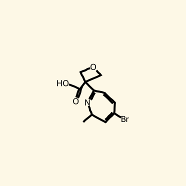 CC1C=C(Br)C=CC(C2(C(=O)O)COC2)=N1